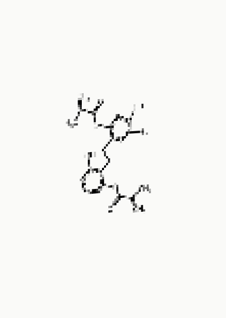 C=C(C)C(=O)Oc1cc(O)c(CC)cc1CCc1c(O)cccc1OC(=O)C(=C)C